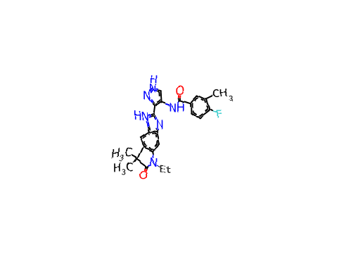 CCN1C(=O)C(C)(C)c2cc3[nH]c(-c4n[nH]cc4NC(=O)c4ccc(F)c(C)c4)nc3cc21